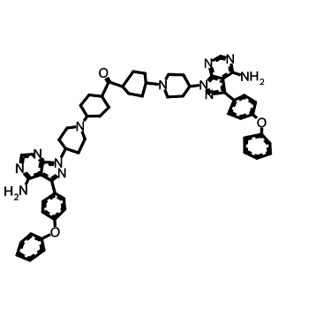 Nc1ncnc2c1c(-c1ccc(Oc3ccccc3)cc1)nn2C1CCN(C2CCC(C(=O)C3CCC(N4CCC(n5nc(-c6ccc(Oc7ccccc7)cc6)c6c(N)ncnc65)CC4)CC3)CC2)CC1